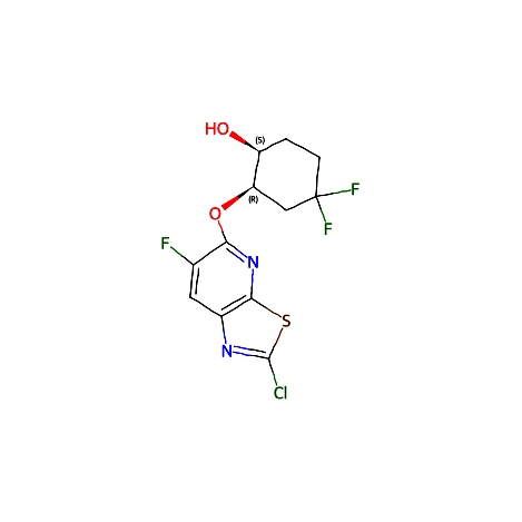 O[C@H]1CCC(F)(F)C[C@H]1Oc1nc2sc(Cl)nc2cc1F